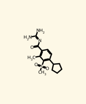 Cc1c(C(=O)N=C(N)N)ccc(C2CCCC2)c1S(C)(=O)=O